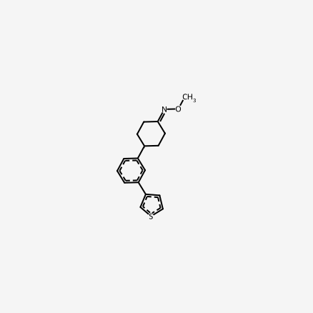 CON=C1CC[C](c2cccc(-c3ccsc3)c2)CC1